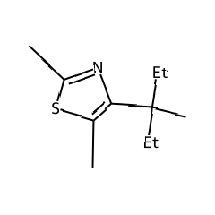 CCC(C)(CC)c1nc(C)sc1C